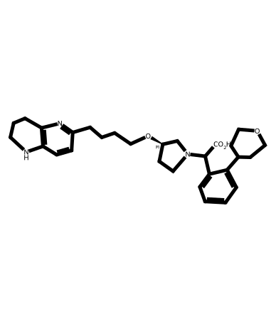 O=C(O)C(c1ccccc1C1CCOCC1)N1CC[C@@H](OCCCCc2ccc3c(n2)CCCN3)C1